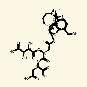 CN1CCC[C@]23c4c5ccc(CO)c4O[C@H]2C(OC(=O)C[C@H](OC(=O)[C@H](O)[C@@H](O)C(=O)O)C(=O)O[C@H](CC(=O)O)C(=O)O)=CC[C@@]3(O)[C@H]1C5